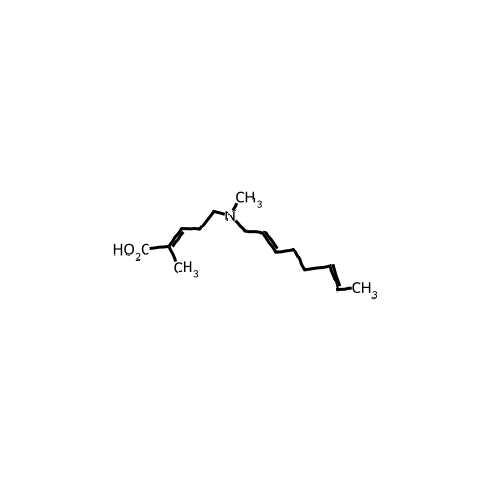 CC=CCCC=CCN(C)CCC=C(C)C(=O)O